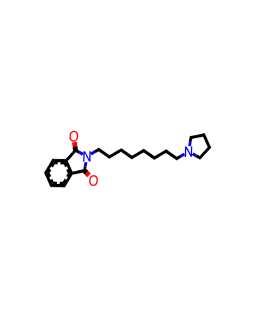 O=C1c2ccccc2C(=O)N1CCCCCCCCN1CCCC1